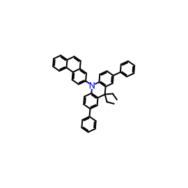 CCC1(CC)c2cc(-c3ccccc3)ccc2N(c2ccc3c(ccc4ccccc43)c2)c2ccc(-c3ccccc3)cc21